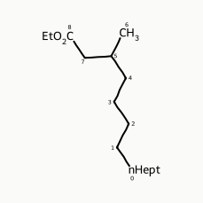 CCCCCCCCCCCC(C)CC(=O)OCC